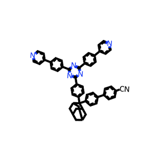 N#Cc1ccc(-c2ccc(C3(c4ccc(-c5nc(-c6ccc(-c7ccncc7)cc6)nc(-c6ccc(-c7ccncc7)cc6)n5)cc4)C4CC5CC(C4)CC3C5)cc2)cc1